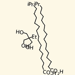 CC(C)CCCCCCCCCCCCCCC(=O)O.CC(C)CCCCCCCCCCCCCCC(=O)O.CCC(CO)(CO)CO